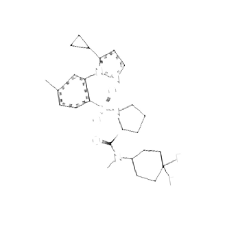 Cc1ccc(S(=O)(=O)N2CCC[C@H]2C(=O)N(C)C2CCC(F)(F)CC2)c(-n2nccc2C2CC2)c1